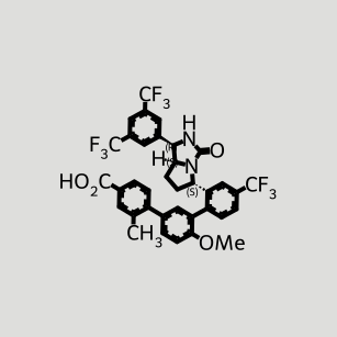 COc1ccc(-c2ccc(C(=O)O)cc2C)cc1-c1ccc(C(F)(F)F)cc1[C@@H]1CC[C@H]2[C@@H](c3cc(C(F)(F)F)cc(C(F)(F)F)c3)NC(=O)N12